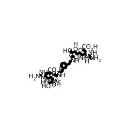 CC(=O)N[C@H]1[C@H]([C@H](OC(=O)NCCc2cccc(CCNC(=O)O[C@@H]([C@@H]3OC(C(=O)O)=C[C@H](NC(=N)N)[C@H]3NC(C)=O)[C@H](O)CO)c2)[C@H](O)CO)OC(C(=O)O)=C[C@@H]1NC(=N)N